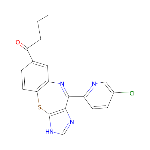 CCCC(=O)c1ccc2c(c1)N=C(c1ccc(Cl)cn1)c1nc[nH]c1S2